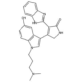 CN(C)CCCn1cc(C2=C(c3nc4ccccc4[nH]3)C(=O)NC2)c2cc(O)ccc21